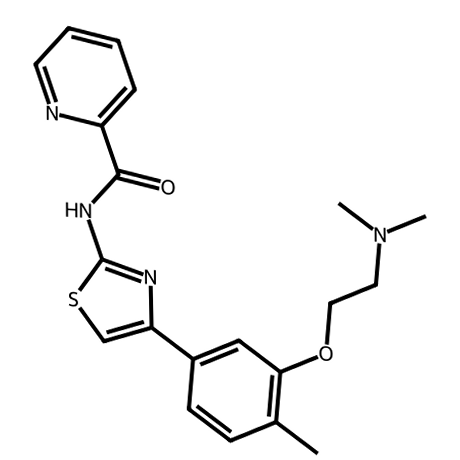 Cc1ccc(-c2csc(NC(=O)c3ccccn3)n2)cc1OCCN(C)C